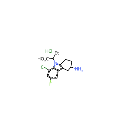 CCC(C(=O)O)n1c2c(c3cc(F)cc(Cl)c31)CC(N)CC2.Cl